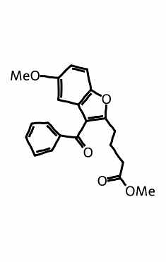 COC(=O)CCCc1oc2ccc(OC)cc2c1C(=O)c1ccccc1